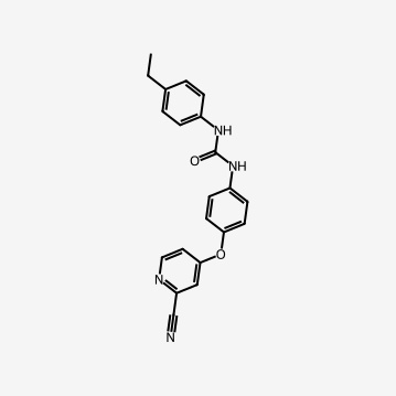 CCc1ccc(NC(=O)Nc2ccc(Oc3ccnc(C#N)c3)cc2)cc1